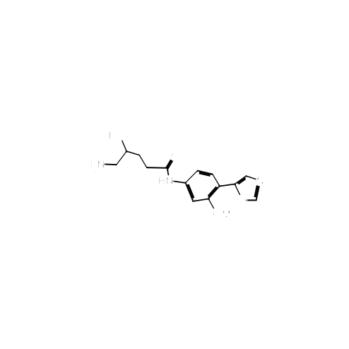 COc1cc(NC(=O)CCC(C)CN)ccc1-c1cnco1